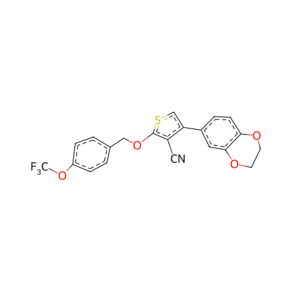 N#Cc1c(-c2ccc3c(c2)OCCO3)csc1OCc1ccc(OC(F)(F)F)cc1